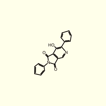 O=C1c2cnc(-c3ccccc3)c(O)c2C(=O)N1c1ccccc1